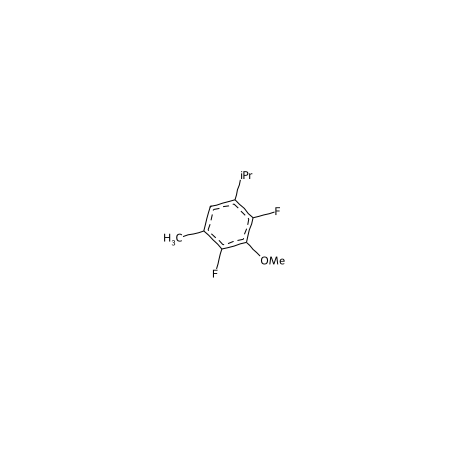 COc1c(F)c(C)cc(C(C)C)c1F